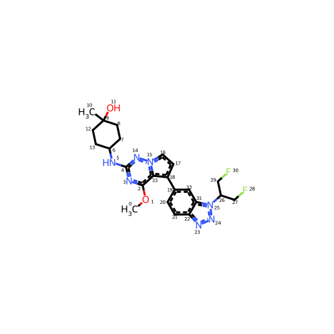 COc1nc(NC2CCC(C)(O)CC2)nn2ccc(-c3ccc4nnn(C(CF)CF)c4c3)c12